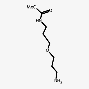 COC(=O)NCCCOCCCN